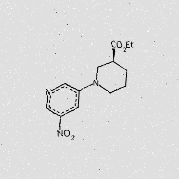 CCOC(=O)[C@H]1CCCN(c2cncc([N+](=O)[O-])c2)C1